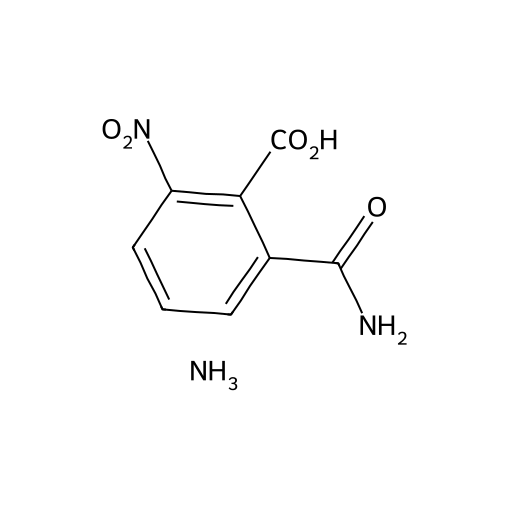 N.NC(=O)c1cccc([N+](=O)[O-])c1C(=O)O